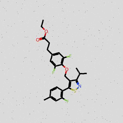 CCOC(=O)CCc1cc(F)c(OCc2c(C(C)C)nsc2-c2ccc(C)cc2F)c(F)c1